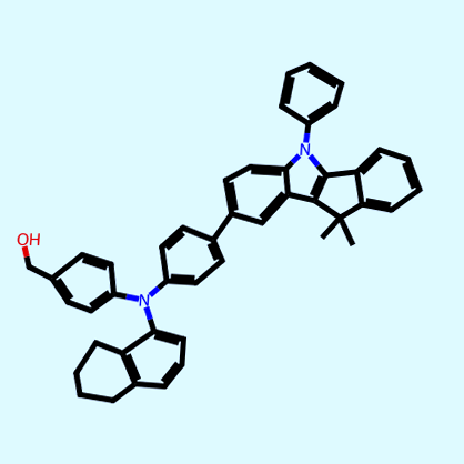 CC1(C)c2ccccc2-c2c1c1cc(-c3ccc(N(c4ccc(CO)cc4)c4cccc5c4CCCC5)cc3)ccc1n2-c1ccccc1